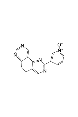 [O-][n+]1cccc(-c2ncc3c(n2)-c2cncnc2CC3)c1